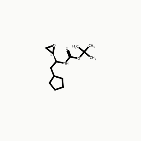 CC(C)(C)OC(=O)NC(CC1CCCC1)[C@H]1CO1